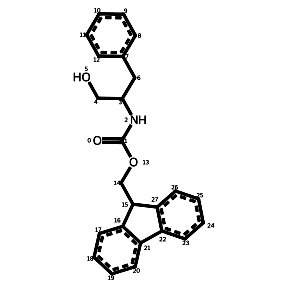 O=C(NC(CO)Cc1ccccc1)OCC1c2ccccc2-c2ccccc21